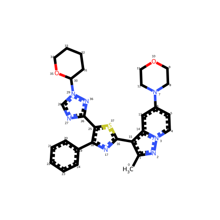 Cc1nn2ccc(N3CCOCC3)cc2c1-c1nc(-c2ccccc2)c(-c2ncn(C3CCCCO3)n2)s1